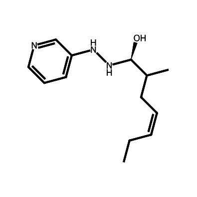 CC/C=C\CC(C)[C@H](O)NNc1cccnc1